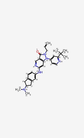 C=CCn1c(=O)c2cnc(Nc3ccc4c(c3)CC(N(C)C)C4)cc2n1-c1ccnc(C(C)(C)C)c1